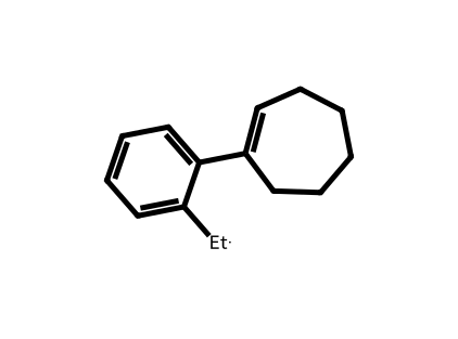 C[CH]c1ccccc1C1=CCCCCC1